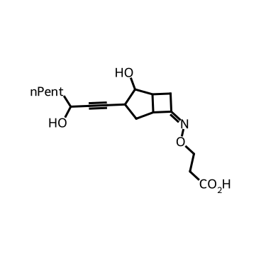 CCCCCC(O)C#CC1CC2C(=NOCCC(=O)O)CC2C1O